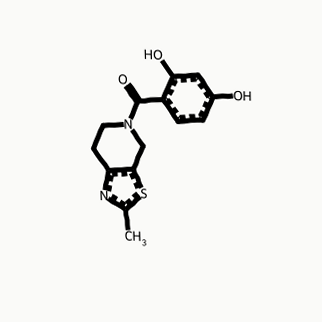 Cc1nc2c(s1)CN(C(=O)c1ccc(O)cc1O)CC2